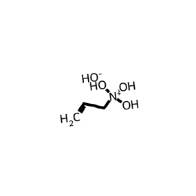 C=CC[N+](O)(O)O.[OH-]